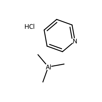 Cl.[CH3][Al]([CH3])[CH3].c1ccncc1